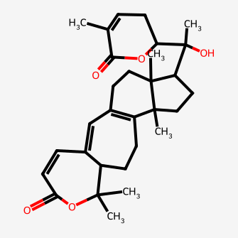 CC1=CCC(C(C)(O)C2CCC3(C)C4=C(C=C5C=CC(=O)OC(C)(C)C5CC4)CCC23C)OC1=O